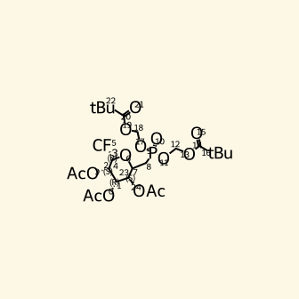 CC(=O)O[C@@H]1[C@H](OC(C)=O)[C@H](C(F)(F)F)OC(CP(=O)(OCOC(=O)C(C)(C)C)OCOC(=O)C(C)(C)C)[C@H]1OC(C)=O